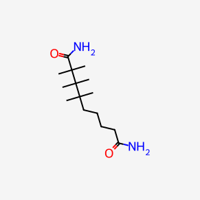 CC(C)(CCCCC(N)=O)C(C)(C)C(C)(C)C(N)=O